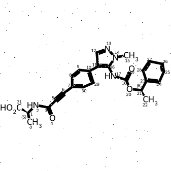 C[C@H](NC(=O)C#Cc1ccc(-c2cnn(C)c2NC(=O)O[C@H](C)c2ccccc2)cc1)C(=O)O